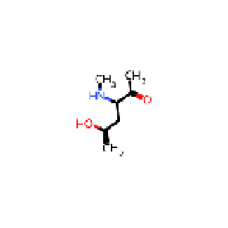 C=C(O)CC(NC)C(C)=O